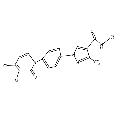 CCNC(=O)c1cn(-c2ccc(-n3ccc(Cl)c(Cl)c3=O)cc2)nc1C(F)(F)F